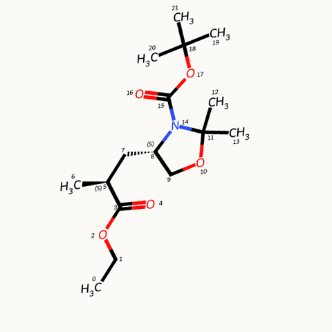 CCOC(=O)[C@@H](C)C[C@H]1COC(C)(C)N1C(=O)OC(C)(C)C